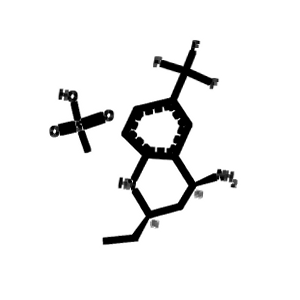 CC[C@@H]1C[C@H](N)c2cc(C(F)(F)F)ccc2N1.CS(=O)(=O)O